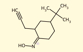 C#CCC1CC(C(C)(C)C)CC/C1=N/O